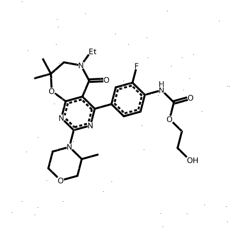 CCN1CC(C)(C)Oc2nc(N3CCOCC3C)nc(-c3ccc(NC(=O)OCCO)c(F)c3)c2C1=O